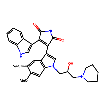 COc1cc2c(C3=C(c4c[nH]c5ccccc45)C(=O)NC3=O)cn(CC(O)CN3CCCCC3)c2cc1OC